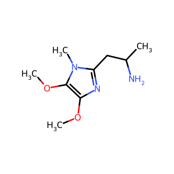 COc1nc(CC(C)N)n(C)c1OC